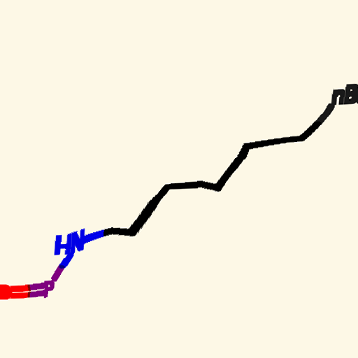 CCCCCCCCCNP=O